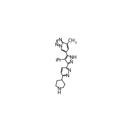 Cc1cc(-c2[nH]nc(-c3ccc(C4CCNCC4)nn3)c2C(C)C)cn2ncnc12